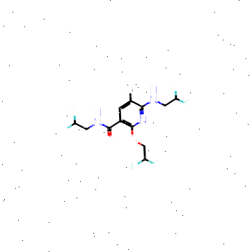 O=C(NCC(F)F)c1cc([N+](=O)[O-])c(NCC(F)F)nc1OCC(F)F